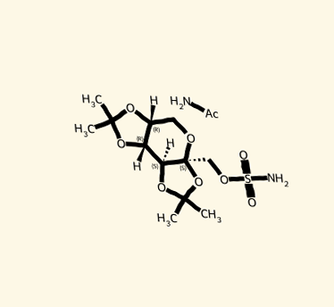 CC(N)=O.CC1(C)O[C@@H]2[C@@H](CO[C@@]3(COS(N)(=O)=O)OC(C)(C)O[C@@H]23)O1